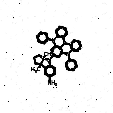 CC12CCCC1(C)N(c1cc3c4c(c1)N(c1ccccc1)c1ccccc1B4c1ccccc1N3c1ccccc1)c1ccc(N)cc12